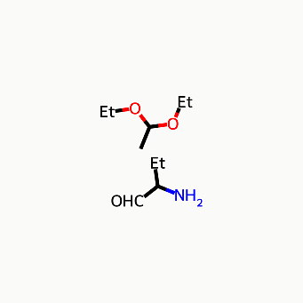 CCC(N)C=O.CCOC(C)OCC